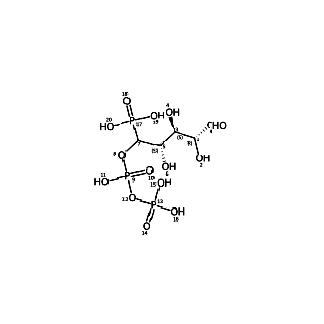 O=C[C@H](O)[C@H](O)[C@H](O)C(OP(=O)(O)OP(=O)(O)O)P(=O)(O)O